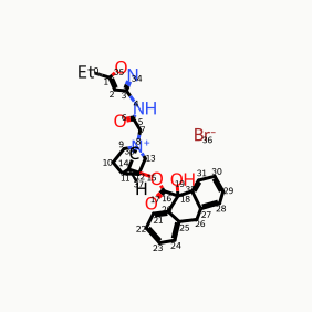 CCc1cc(NC(=O)C[N+]23CCC(CC2)[C@@H](OC(=O)C2(O)c4ccccc4Cc4ccccc42)C3)no1.[Br-]